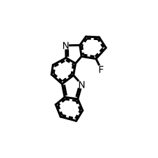 Fc1cccc2c1-c1c3c(ccc1=N2)=c1ccccc1=N3